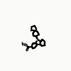 O=C(O)c1ccc2c3ccccc3n(C3CCC4(CC3)SCCS4)c2c1